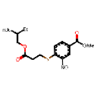 CCCCC(CC)COC(=O)CCSc1ccc(C(=O)OC)cc1N=O